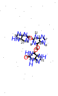 Cn1c(=O)c2c(ncn2C)n(C)c1=O.O=c1[nH]c(=O)c2[nH]cnc2[nH]1.c1ncc2[nH]cnc2n1